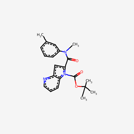 Cc1cccc(N(C)C(=O)c2cc3ncccc3n2C(=O)OC(C)(C)C)c1